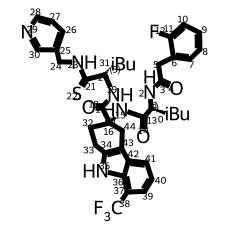 CCC(C)[C@H](NC(=O)Cc1ccccc1F)C(=O)N[C@]1(C(=O)NC(C(=S)NCc2cccnc2)[C@@H](C)CC)CCc2[nH]c3c(C(F)(F)F)cccc3c2C1